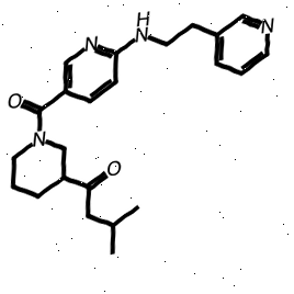 CC(C)CC(=O)C1CCCN(C(=O)c2ccc(NCCc3cccnc3)nc2)C1